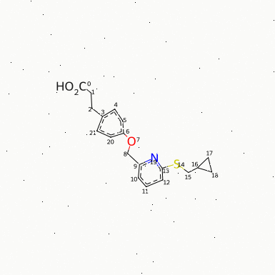 O=C(O)CCc1ccc(OCc2cccc(SCC3CC3)n2)cc1